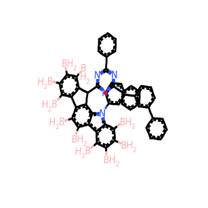 Bc1c(B)c(B)c2c(c1B)-c1c(B)c(B)c3c4c(B)c(B)c(B)c(B)c4n(-c4cccc(-c5cccc(-c6ccccc6)c5)c4)c3c1C2c1nc(-c2ccccc2)nc(-c2ccccc2)n1